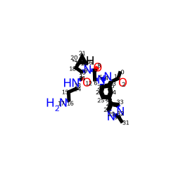 CC(=O)c1nn(CC(=O)N2[C@H](C(=O)NCCCN)C[C@@]3(C)C[C@@H]23)c2ccc(-c3cnc(C)nc3)cc12